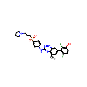 Cc1cc(-c2c(F)ccc(O)c2F)cc2nnc(Nc3ccc(S(=O)(=O)CCCN4CCCC4)cc3)nc12